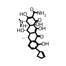 C[C@H]1c2ccc(C3C=CCC3)c(O)c2C(=O)C2=C(O)[C@]3(O)C(=O)C(C(N)=O)=C(O)[C@@H](N(C)C)[C@@H]3[C@@H](O)C21